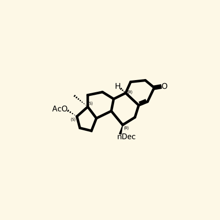 CCCCCCCCCC[C@@H]1CC2=CC(=O)CC[C@@H]2C2CC[C@@]3(C)C(CC[C@@H]3OC(C)=O)C21